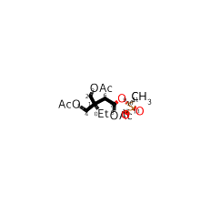 CCC(COC(C)=O)(COC(C)=O)CC(OC(C)=O)OS(C)(=O)=O